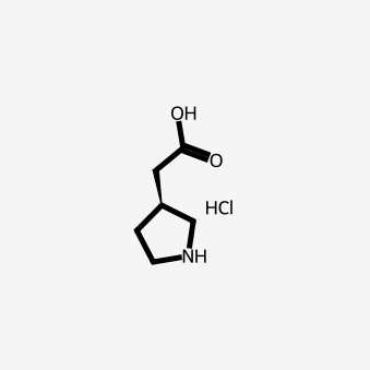 Cl.O=C(O)C[C@@H]1CCNC1